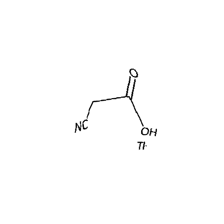 N#CCC(=O)O.[Tl]